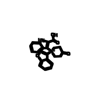 O=C1CC[N+](c2c(C(=O)O)[nH]c3ccccc23)(c2noc3ccccc23)CC1